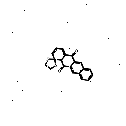 O=C1C2=CC=CC3(SCCS3)C2C(=O)c2cc3ccccc3cc21